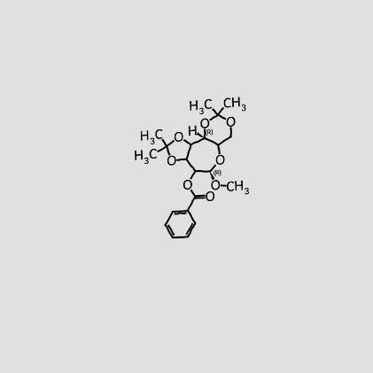 CO[C@@H]1OC2COC(C)(C)O[C@H]2C2OC(C)(C)OC2C1OC(=O)c1ccccc1